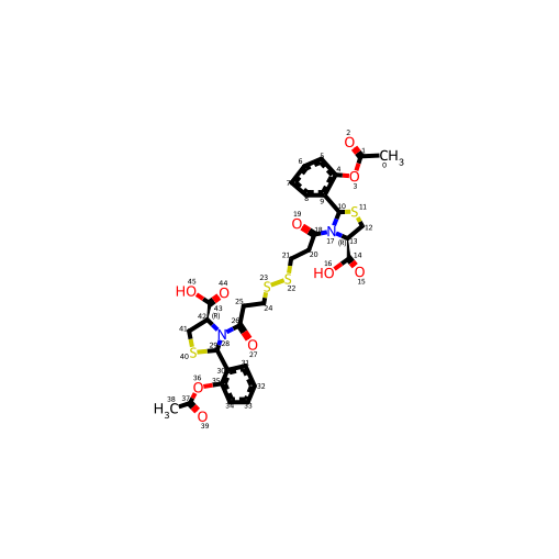 CC(=O)Oc1ccccc1C1SC[C@@H](C(=O)O)N1C(=O)CCSSCCC(=O)N1C(c2ccccc2OC(C)=O)SC[C@H]1C(=O)O